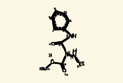 CCNN(C(=O)Nc1ccccc1)C(=O)OC(C)(C)C